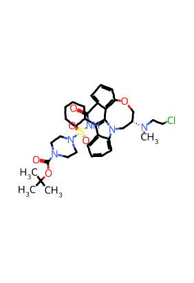 CN(CCCl)[C@H]1COc2cccc(C(=O)NS(=O)(=O)N3CCN(C(=O)OC(C)(C)C)CC3)c2-c2c(C3CCCCC3)c3ccccc3n2C1